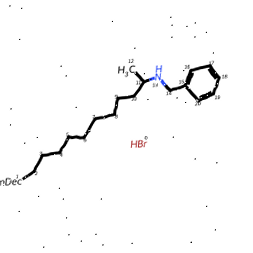 Br.CCCCCCCCCCCCCCCCCCCC(C)NCc1ccccc1